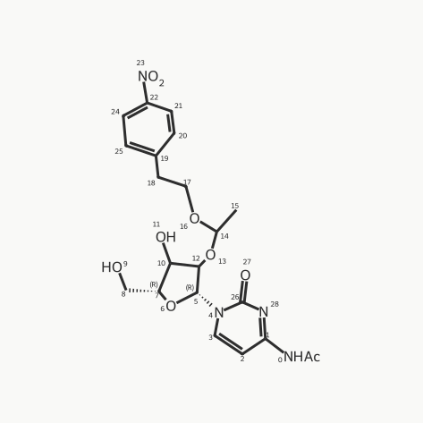 CC(=O)Nc1ccn([C@@H]2O[C@H](CO)C(O)C2OC(C)OCCc2ccc([N+](=O)[O-])cc2)c(=O)n1